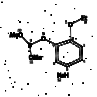 CCOc1ccccc1OB(OC)OC.[NaH]